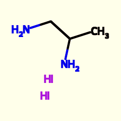 CC(N)CN.I.I